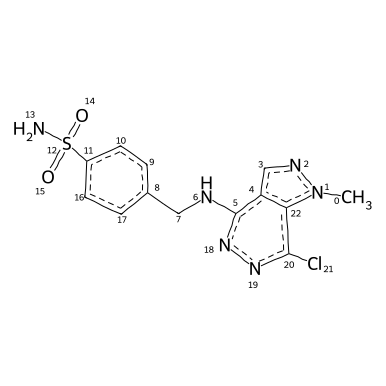 Cn1ncc2c(NCc3ccc(S(N)(=O)=O)cc3)nnc(Cl)c21